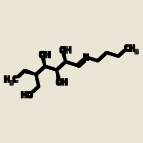 CCCCN=C[C@H](O)[C@@H](O)[C@H](O)[C@H](CC)CO